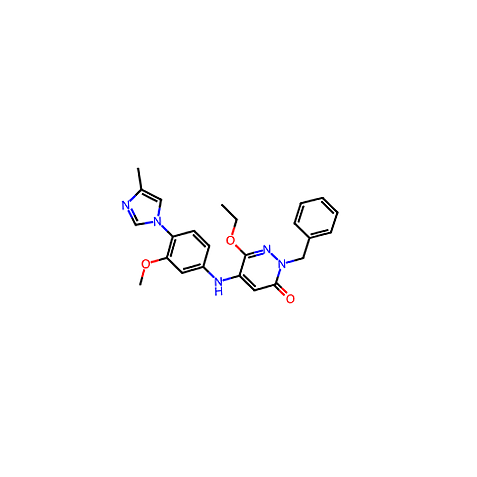 CCOc1nn(Cc2ccccc2)c(=O)cc1Nc1ccc(-n2cnc(C)c2)c(OC)c1